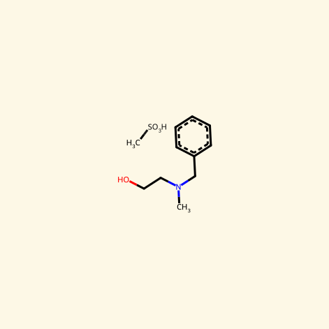 CN(CCO)Cc1ccccc1.CS(=O)(=O)O